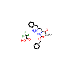 COC(=O)[C@H](C[C@@H](N)Cc1ccccc1)NC(=O)OCc1ccccc1.O=C(O)C(F)(F)F